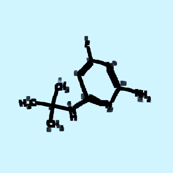 CC(C)(C)Nc1cc(F)nc(N)n1